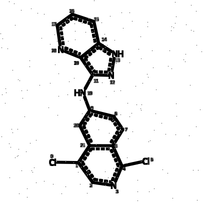 Clc1cnc(Cl)c2ccc(Nc3n[nH]c4cccnc34)cc12